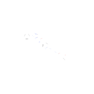 C=C(O)[C@H]1CCC[C@@H]1C(=O)N1CCN(c2ccc(NC(=O)c3nn(-c4ccccc4)nc3C)cn2)CC1